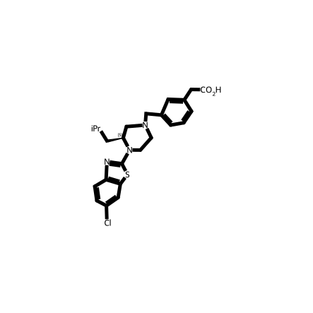 CC(C)C[C@H]1CN(Cc2cccc(CC(=O)O)c2)CCN1c1nc2ccc(Cl)cc2s1